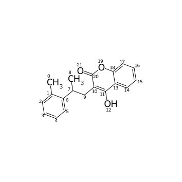 Cc1ccccc1C(C)Cc1c(O)c2ccccc2oc1=O